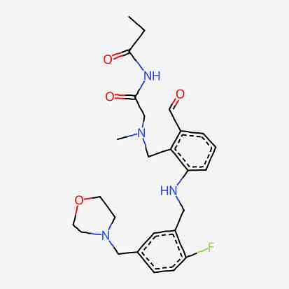 CCC(=O)NC(=O)CN(C)Cc1c(C=O)cccc1NCc1cc(CN2CCOCC2)ccc1F